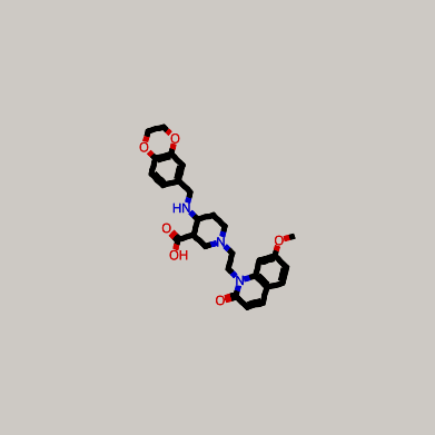 COc1ccc2ccc(=O)n(CCN3CCC(NCc4ccc5c(c4)OCCO5)C(C(=O)O)C3)c2c1